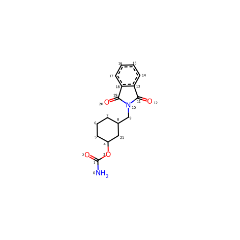 NC(=O)OC1CCCC(CN2C(=O)c3ccccc3C2=O)C1